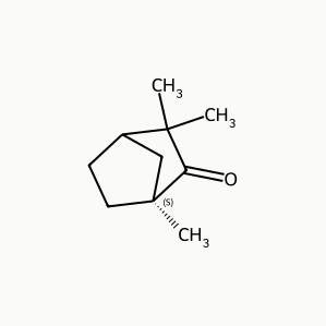 CC1(C)C(=O)[C@@]2(C)CCC1C2